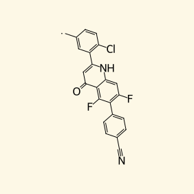 [CH2]c1ccc(Cl)c(-c2cc(=O)c3c(F)c(-c4ccc(C#N)cc4)c(F)cc3[nH]2)c1